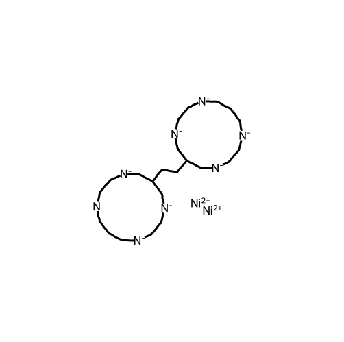 C1C[N-]CC[N-]CC(CCC2C[N-]CC[N-]CCC[N-]CC[N-]C2)C[N-]CC[N-]C1.[Ni+2].[Ni+2]